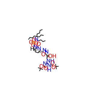 CCCCN(OS(=O)(=O)ON1C(=O)N2C[C@@H]1CC[C@H]2c1nnc([C@H](O)CNC(=NC(=O)OC(C)(C)C)NC(=O)OC(C)(C)C)o1)C(CCC)(CCCC)CCCC